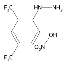 NNc1ccc(C(F)(F)F)cc1C(F)(F)F.O=[N+]([O-])O